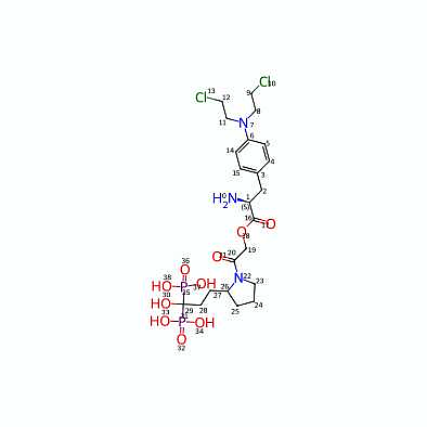 N[C@@H](Cc1ccc(N(CCCl)CCCl)cc1)C(=O)OCC(=O)N1CCCC1CCC(O)(P(=O)(O)O)P(=O)(O)O